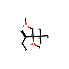 C=C(CC)C(COC)(OC)C(C)(C)C